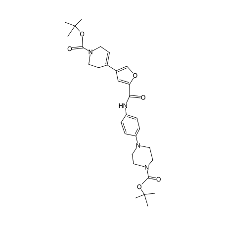 CC(C)(C)OC(=O)N1CC=C(c2coc(C(=O)Nc3ccc(N4CCN(C(=O)OC(C)(C)C)CC4)cc3)c2)CC1